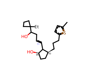 CCC1(C(O)C/C=C/C2[C@@H](CCCc3ccc(C)s3)CC[C@H]2O)CCC1